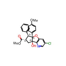 COC(=O)[C@H]1C[C@@]2(O)c3ncc(Cl)cc3O[C@@]2(c2ccc(OC)cc2)[C@@H]1c1ccccc1